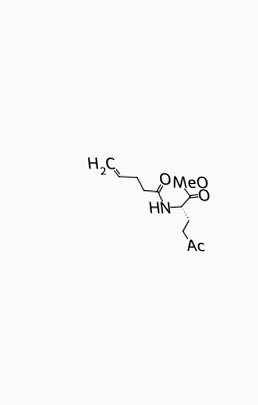 C=CCCC(=O)N[C@@H](CCC(C)=O)C(=O)OC